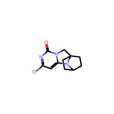 O=c1nc(Cl)cc2n1CC13CCC(CC1)N23